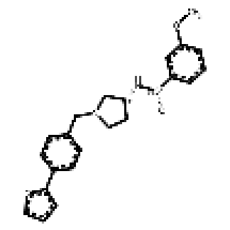 [O-][S@+](N[C@@H]1CCN(Cc2ccc(-c3cccs3)cc2)C1)c1cccc(OC(F)(F)F)c1